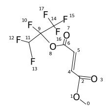 COC(=O)C=CC(=O)OC(F)(C(F)F)C(F)(F)F